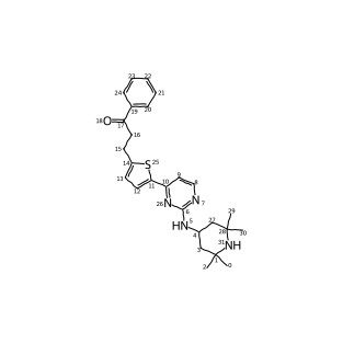 CC1(C)CC(Nc2nccc(-c3ccc(CCC(=O)c4ccccc4)s3)n2)CC(C)(C)N1